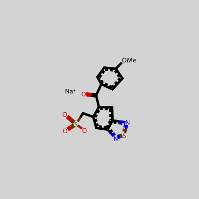 COc1ccc(C(=O)c2cc3nsnc3cc2CS(=O)(=O)[O-])cc1.[Na+]